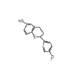 COc1ccc(C2CCc3cc(O)ccc3O2)cc1